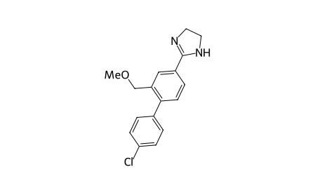 COCc1cc(C2=NCCN2)ccc1-c1ccc(Cl)cc1